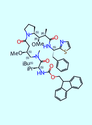 CC[C@H](C)[C@@H]([C@H](CC(=O)N1CCC[C@H]1[C@H](OC)[C@@H](C)C(=O)N[C@@H](Cc1ccccc1)c1nccs1)OC)N(C)C(=O)[C@@H](NC(=O)OCC1c2ccccc2-c2ccccc21)C(C)C